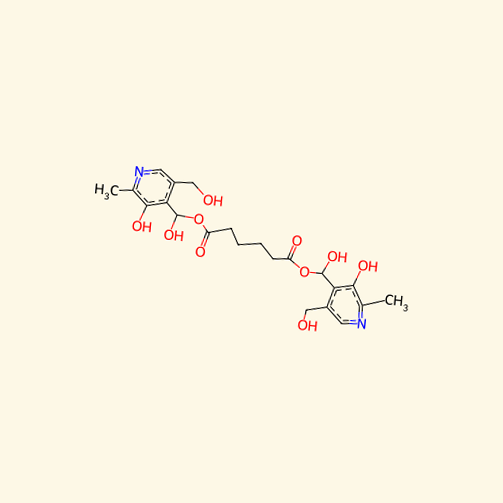 Cc1ncc(CO)c(C(O)OC(=O)CCCCC(=O)OC(O)c2c(CO)cnc(C)c2O)c1O